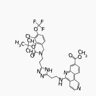 COC(=O)c1ccc2c(c1)nc(NCCc1nnc(CCN(Cc3ccc(OC(F)(F)F)c(Cl)c3)C(=O)OC(C)(C)C)[nH]1)c1ccncc12